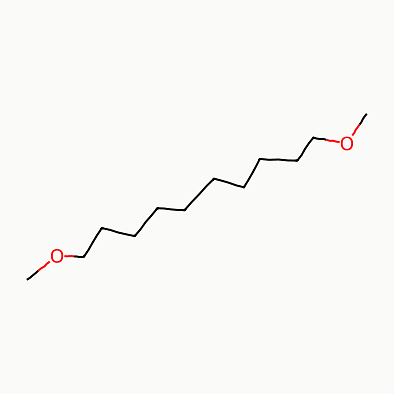 COCCCCCCCCCCOC